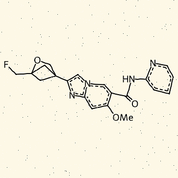 COc1cc2nc(C34COC(CF)(C3)C4)cn2cc1C(=O)Nc1ccccn1